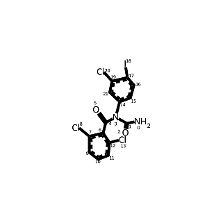 NC(=O)N(C(=O)c1c(Cl)cccc1Cl)c1ccc(I)c(Cl)c1